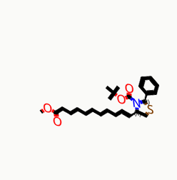 COC(=O)CCCCCCCCC=C[C@@H]1CS[C@H](c2ccccc2)N1C(=O)OC(C)(C)C